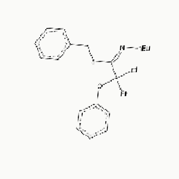 CCCCN=C(SCc1ccccc1)C(Cl)(CC)Oc1ccccc1